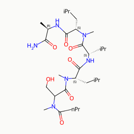 CCCC(=O)N(C)C(CO)C(=O)N(C)[C@@H](CC(C)C)C(=O)N[C@H](C(=O)N(C)[C@@H](CC(C)C)C(=O)N[C@H](C)C(N)=O)C(C)C